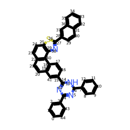 c1ccc(C2=NC(c3ccccc3)NC(c3ccc4c(ccc5ccc6sc(-c7ccc8ccccc8c7)nc6c54)c3)=N2)cc1